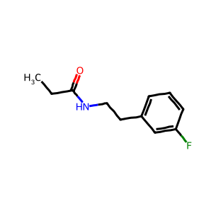 CCC(=O)NCCc1cccc(F)c1